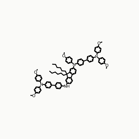 CCCCCCC1(CCCCCC)c2cc(Nc3ccc(-c4ccc(N(c5ccc(OC)cc5)c5ccc(OC)cc5)cc4)cc3)ccc2-c2ccc(N(c3ccc(OC)cc3)c3ccc(-c4ccc(N(c5ccc(OC)cc5)c5ccc(OC)cc5)cc4)cc3)cc21